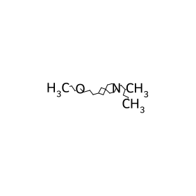 CCCOCCCC1CC2(CCN(CC(C)CCC)CC2)C1